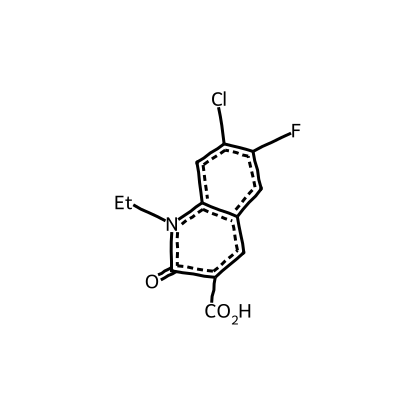 CCn1c(=O)c(C(=O)O)cc2cc(F)c(Cl)cc21